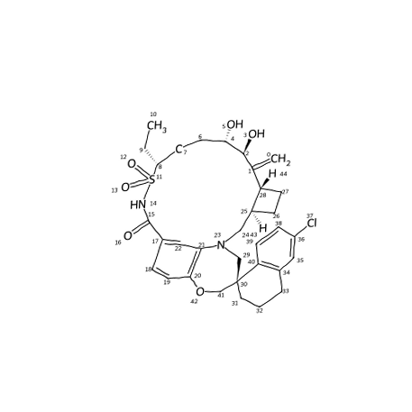 C=C1[C@H](O)[C@@H](O)CC[C@@H](CC)S(=O)(=O)NC(=O)c2ccc3c(c2)N(C[C@@H]2CC[C@@H]12)C[C@@]1(CCCc2cc(Cl)ccc21)CO3